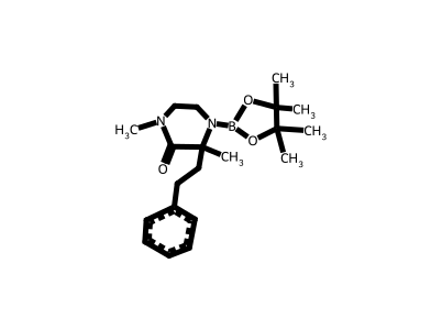 CN1CCN(B2OC(C)(C)C(C)(C)O2)C(C)(CCc2ccccc2)C1=O